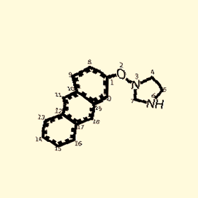 [c]1c(ON2CCNC2)ccc2cc3ccccc3cc12